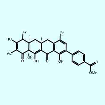 COC(=O)c1ccc(-c2cc(C(C)C)c3c(c2O)C(=O)C2=C(O)[C@@]4(O)C(=O)C(C(C)=O)=C(O)C(C(C)C)[C@@]4(C)C[C@@]2(C)C3)cc1